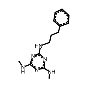 CNc1nc(NC)nc(NCCCc2ccccc2)n1